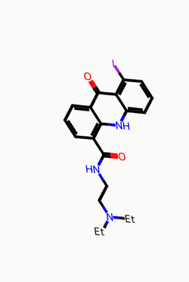 CCN(CC)CCNC(=O)c1cccc2c(=O)c3c(I)cccc3[nH]c12